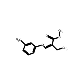 CCC(=COc1cccc(C)c1)C(=O)OC